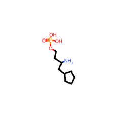 NC(CCOP(=O)(O)O)CC1CCCC1